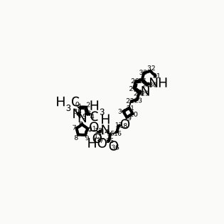 Cc1cc(C)n([C@@H]2CCC[C@H]2OC(=O)N[C@@H](CCO[C@H]2C[C@H](CCc3ccc4c(n3)NCCC4)C2)C(=O)O)n1